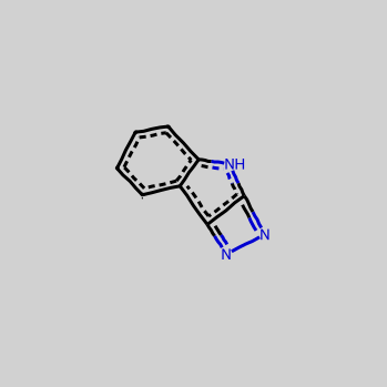 [c]1cccc2[nH]c3c(c12)=NN=3